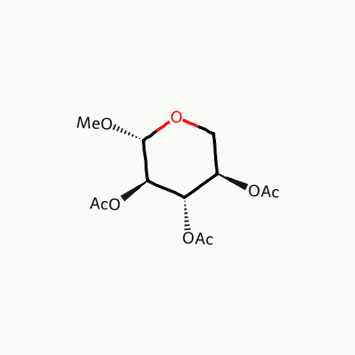 CO[C@@H]1OC[C@@H](OC(C)=O)[C@H](OC(C)=O)[C@H]1OC(C)=O